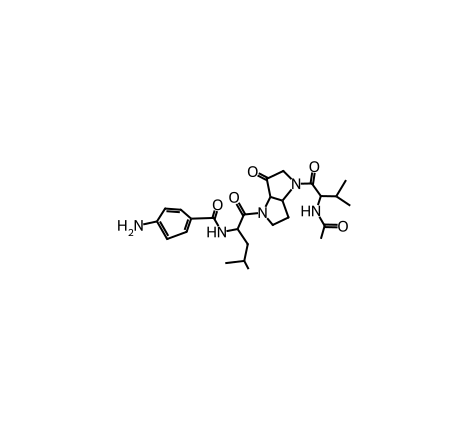 CC(=O)NC(C(=O)N1CC(=O)C2C1CCN2C(=O)C(CC(C)C)NC(=O)c1ccc(N)cc1)C(C)C